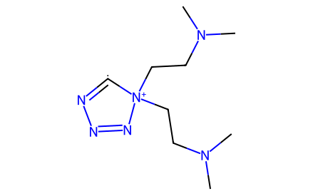 CN(C)CC[N+]1(CCN(C)C)[C]=NN=N1